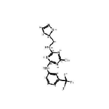 FC(F)(F)c1cccc(Nc2nc(Cl)nc(NCC3CC=CO3)n2)c1